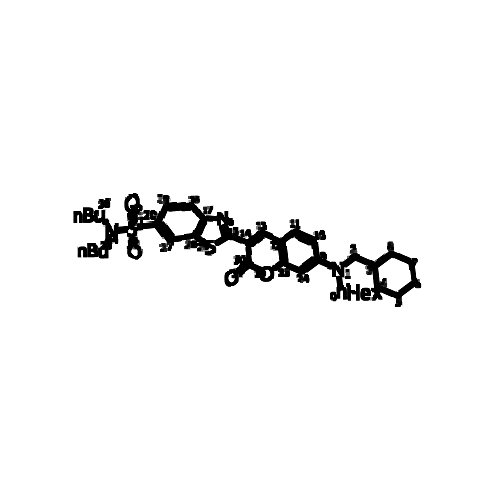 CCCCCCN(CC1CCCCC1)c1ccc2cc(-c3nc4ccc(S(=O)(=O)N(CCCC)CCCC)cc4s3)c(=O)oc2c1